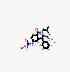 CONC(=O)Nc1ccc2c(=O)n(CC(C)C)c(CN)c(-c3ccccc3)c2c1